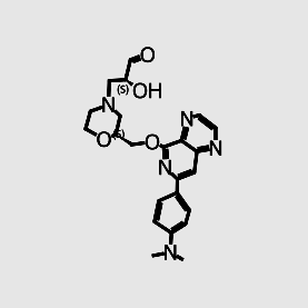 CN(C)c1ccc(-c2cc3nccnc3c(OC[C@@H]3CN(C[C@H](O)C=O)CCO3)n2)cc1